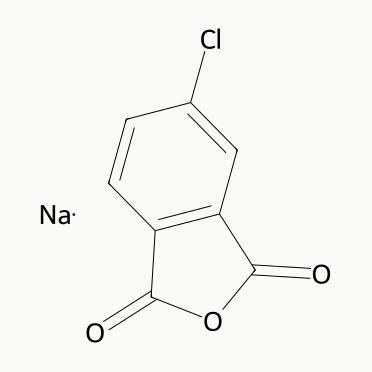 O=C1OC(=O)c2cc(Cl)ccc21.[Na]